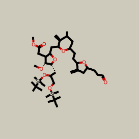 C=C1CC(CCC=O)OC1CCC1CC(C)C(=C)C(CC2O[C@H](CC(CO[Si](C)(C)C(C)(C)C)O[Si](C)(C)C(C)(C)C)[C@H](OC)C2CC(=O)OC)O1